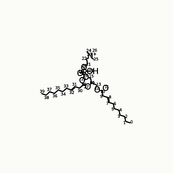 CCCCCCCC=CCC(=O)OC[C@H](COP(=O)(O)OCC[N+](C)(C)C)OC(=O)CC=CCCCCCCC